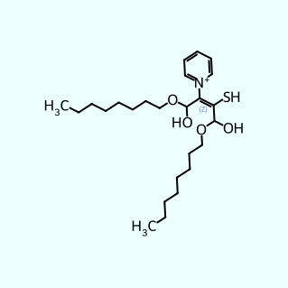 CCCCCCCCOC(O)/C(S)=C(\C(O)OCCCCCCCC)[n+]1ccccc1